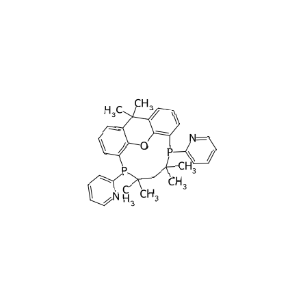 CC1(C)c2cccc3c2Oc2c(cccc21)P(c1ccccn1)C(C)(C)CC(C)(C)P3c1ccccn1